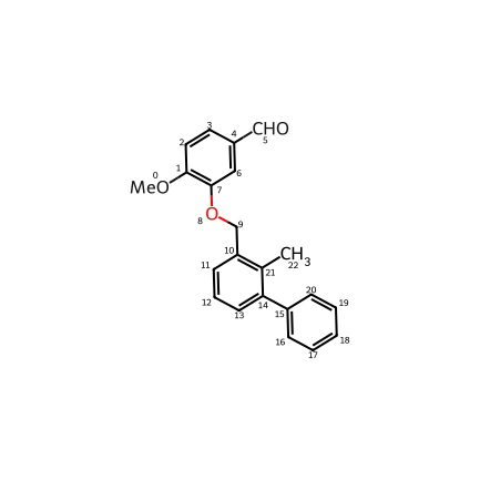 COc1ccc(C=O)cc1OCc1cccc(-c2ccccc2)c1C